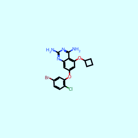 Nc1nc(N)c2c(OC3CCC3)cc(Oc3cc(Br)ccc3Cl)cc2n1